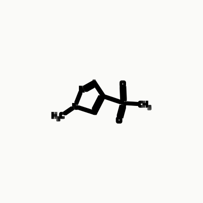 Cn1cc(S(C)(=O)=O)[c]n1